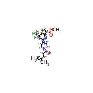 COC(=O)c1csc2c(C(F)(F)F)cc(N3CCN(C(=O)CCC(C)C)CC3)nc12